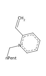 C=Cc1cccc[n+]1CCCCCC